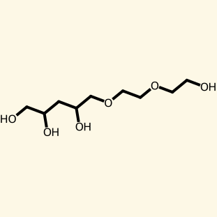 OCCOCCOCC(O)CC(O)CO